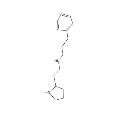 CN1CCCC1CCNCCCc1ccccc1